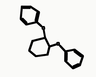 c1ccc(OC2CCCCC2Oc2ccccc2)cc1